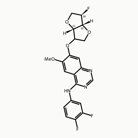 COc1cc2c(Nc3ccc(F)c(F)c3)ncnc2cc1OC1CO[C@H]2[C@H](F)CO[C@@H]12